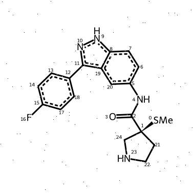 CS[C@@]1(C(=O)Nc2ccc3[nH]nc(-c4ccc(F)cc4)c3c2)CCNC1